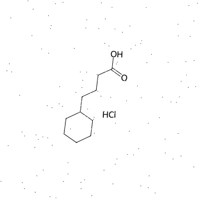 Cl.O=C(O)CCCC1CCCCC1